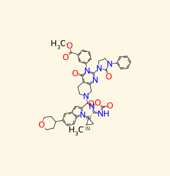 COC(=O)c1cccc(-n2c(N3CCN(c4ccccc4)C3=O)nc3c(c2=O)CCN(C(=O)c2cc4cc(C5CCOCC5)ccc4n2[C@@]2(c4noc(=O)[nH]4)C[C@@H]2C)C3)c1